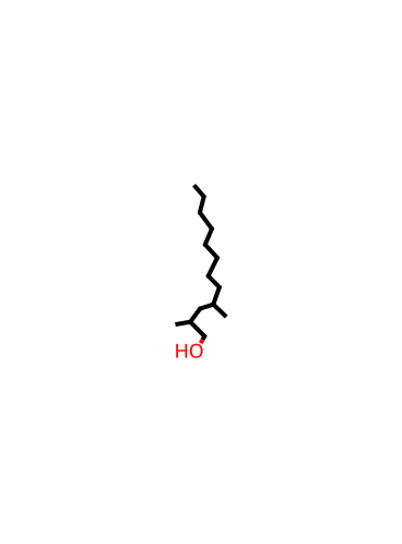 CCCCCCCCC(C)CC(C)CO